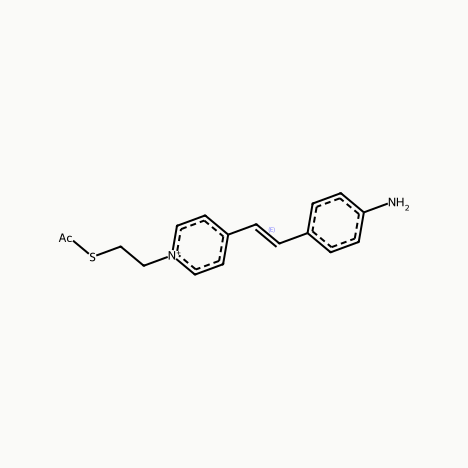 CC(=O)SCC[n+]1ccc(/C=C/c2ccc(N)cc2)cc1